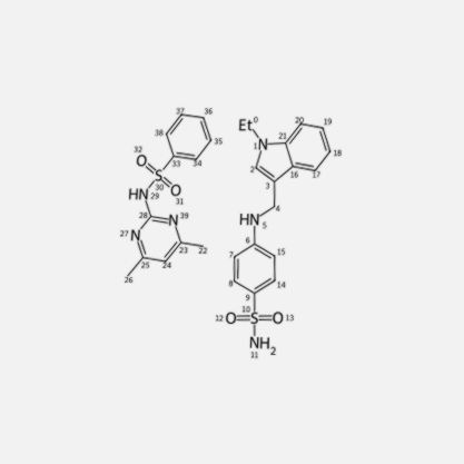 CCn1cc(CNc2ccc(S(N)(=O)=O)cc2)c2ccccc21.Cc1cc(C)nc(NS(=O)(=O)c2ccccc2)n1